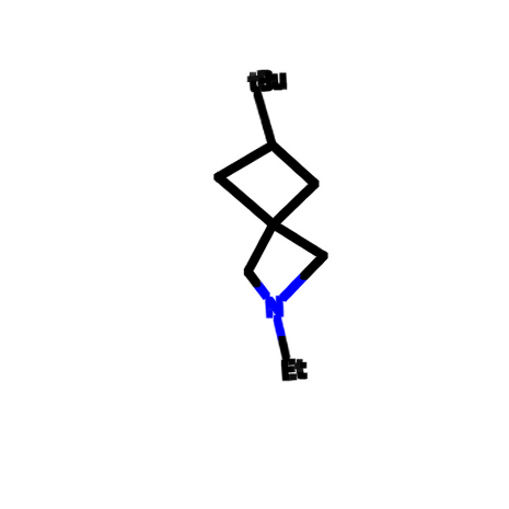 CCN1CC2(CC(C(C)(C)C)C2)C1